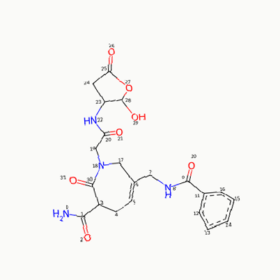 NC(=O)C1CC=C(CNC(=O)c2ccccc2)CN(CC(=O)NC2CC(=O)OC2O)C1=O